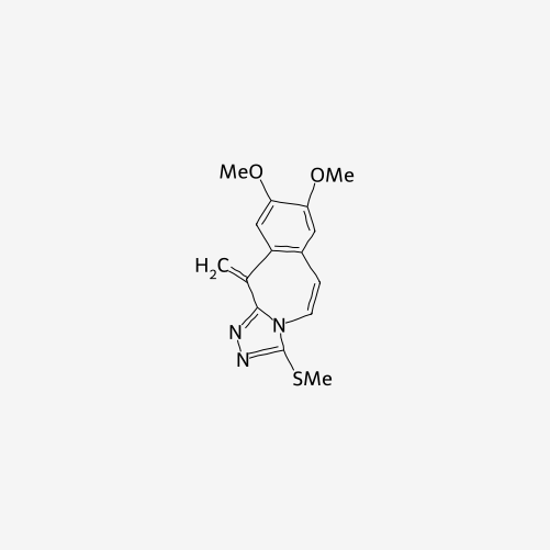 C=C1c2cc(OC)c(OC)cc2C=Cn2c(SC)nnc21